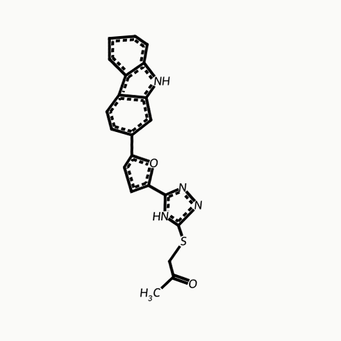 CC(=O)CSc1nnc(-c2ccc(-c3ccc4c(c3)[nH]c3ccccc34)o2)[nH]1